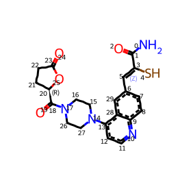 NC(=O)/C(S)=C/c1ccc2nccc(N3CCN(C(=O)[C@H]4CCC(=O)O4)CC3)c2c1